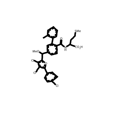 COC(c1ccc(C(=O)NC(CCSC)C(=O)O)c(-c2ccccc2C)c1)c1oc(-c2ccc(Cl)cc2)c(Cl)c1Cl